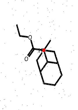 CCOC(=O)C(C)C1C2CCCC1CNC2